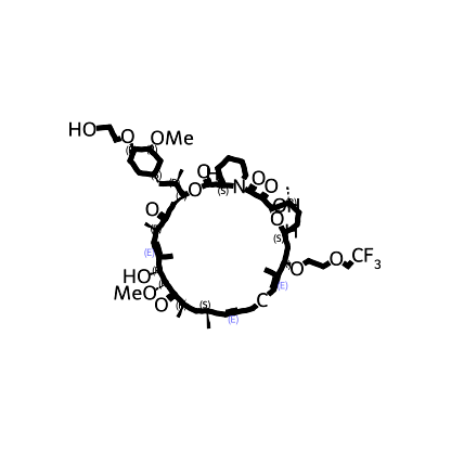 CO[C@@H]1C[C@H](C[C@@H](C)[C@@H]2CC(=O)[C@H](C)/C=C(\C)[C@@H](O)[C@@H](OC)C(=O)[C@H](C)C[C@H](C)/C=C/CC/C=C(\C)[C@H](OCCOCC(F)(F)F)C[C@@H]3CC[C@@H](C)[C@@](O)(O3)C(=O)C(=O)N3CCCC[C@H]3C(=O)O2)CC[C@H]1OCCO